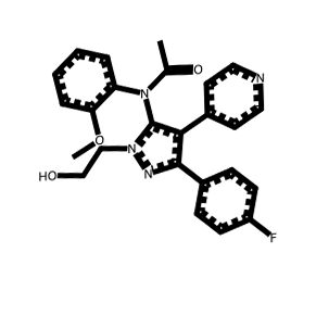 COc1ccccc1N(C(C)=O)c1c(-c2ccncc2)c(-c2ccc(F)cc2)nn1CCO